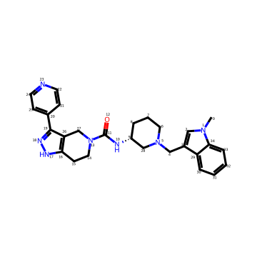 Cn1cc(CN2CCC[C@@H](NC(=O)N3CCc4[nH]nc(-c5ccncc5)c4C3)C2)c2ccccc21